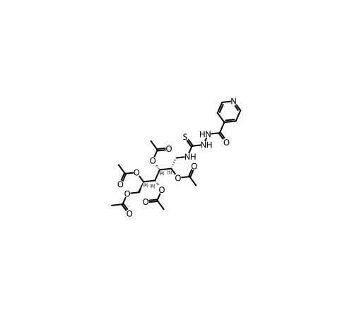 CC(=O)OC[C@@H](OC(C)=O)[C@@H](OC(C)=O)[C@H](OC(C)=O)[C@H](CNC(=S)NNC(=O)c1ccncc1)OC(C)=O